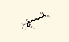 CC(C)CCCCCCNC(=O)[C@@H](C)C(C)C